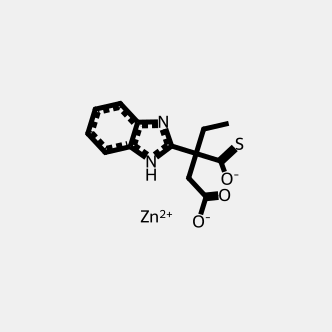 CCC(CC(=O)[O-])(C([O-])=S)c1nc2ccccc2[nH]1.[Zn+2]